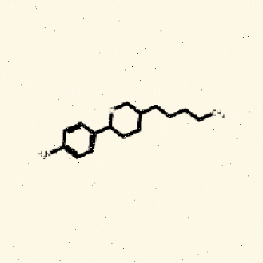 CCCCCC1CCC(c2ccc(N)cc2)OC1